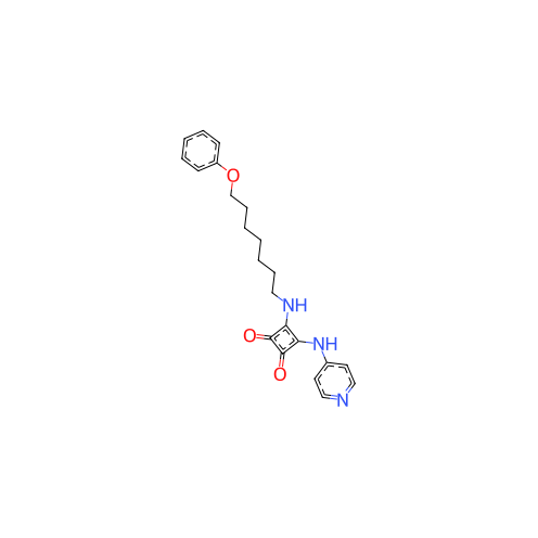 O=c1c(NCCCCCCCOc2ccccc2)c(Nc2ccncc2)c1=O